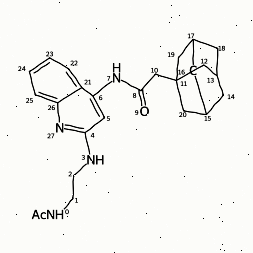 CC(=O)NCCNc1cc(NC(=O)CC23CC4CC(CC(C4)C2)C3)c2ccccc2n1